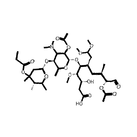 CCC(=O)OC1(C)C[C@H](O[C@@H]2C(C)O[C@@H](O[C@@H]([C@@H](CC(OC)OC)C[C@@H](C)[C@H](C=O)OC(C)=O)[C@@H](OC)[C@H](O)CC(=O)O)C(OC(C)=O)C2N(C)C)OC(C)[C@@H]1C